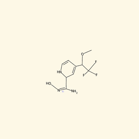 COC(C1=CC(/C(N)=N\O)NC=C1)C(F)(F)F